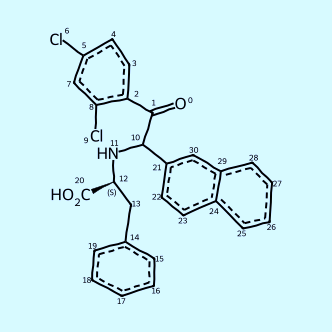 O=C(c1ccc(Cl)cc1Cl)C(N[C@@H](Cc1ccccc1)C(=O)O)c1ccc2ccccc2c1